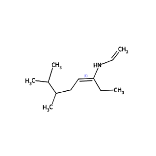 C=CN/C(=C/CC(C)C(C)C)CC